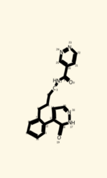 O=C(NCCCCc1ccccc1-c1ccn[nH]c1=O)c1ccnnc1